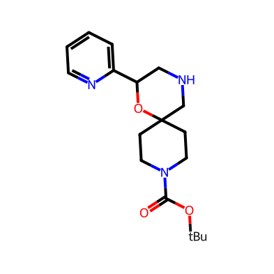 CC(C)(C)OC(=O)N1CCC2(CC1)CNCC(c1ccccn1)O2